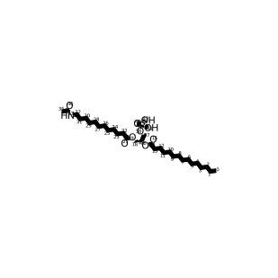 CCCCCCCCCCCCCCC(=O)O[C@@H](COC(=O)CCCCCCCCCCCNC(C)=O)COP(=O)(O)O